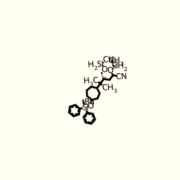 C[SiH2]OC[C@H](CC(C#N)O[SiH2]C)C(C)(C)C1CCCC(O[Si](c2ccccc2)(c2ccccc2)C(C)(C)C)CC1